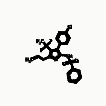 C=CCn1nc(NS(=O)(=O)c2ccccc2)c(-c2ccc(Cl)cc2)c1C(F)(F)C(F)(F)F